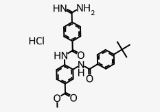 COC(=O)c1ccc(NC(=O)c2ccc(C(=N)N)cc2)c(NC(=O)c2ccc(C(C)(C)C)cc2)c1.Cl